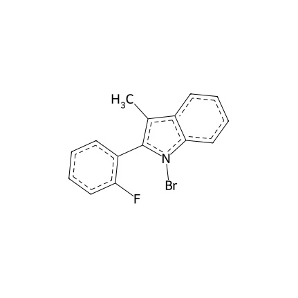 Cc1c(-c2ccccc2F)n(Br)c2ccccc12